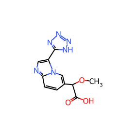 COC(C(=O)O)c1ccc2ncc(-c3nnn[nH]3)n2c1